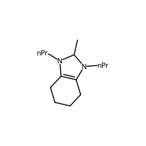 CCCN1C2=C(CCCC2)N(CCC)C1C